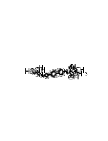 CC(O)c1nccn1C(/C=C/c1ccc(-c2ccc(C3CC(CNCC(O)CO)C3)cc2)cc1)CO